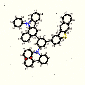 c1ccc(-c2ccccc2N(c2ccccc2)c2cc(-c3ccc4sc5cc6ccccc6cc5c4c3)cc(-c3cc4c5ccccc5n(-c5ccccc5)c4c4ccccc34)c2)cc1